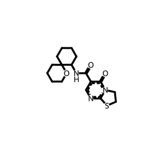 O=C(NC1CCCCC12CCCCO2)c1cnc2n(c1=O)CCS2